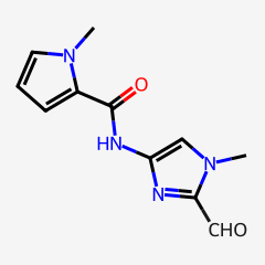 Cn1cccc1C(=O)Nc1cn(C)c(C=O)n1